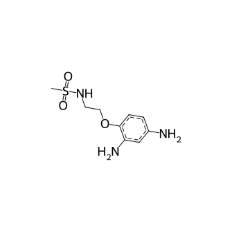 CS(=O)(=O)NCCOc1ccc(N)cc1N